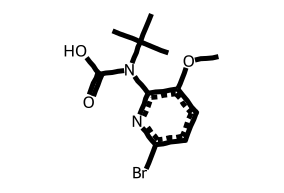 COc1ccc(Br)nc1N(C(=O)O)C(C)(C)C